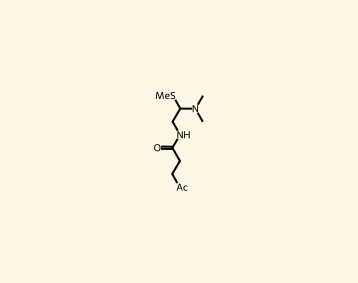 CSC(CNC(=O)CCC(C)=O)N(C)C